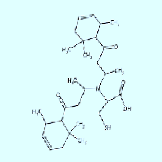 CC1C=CCC(C)(C)C1C(=O)CC(C)N(C(C)CC(=O)C1C(C)C=CCC1(C)C)C(CS)C(=O)O